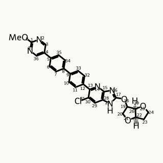 COc1ncc(-c2ccc(-c3ccc(-c4nc5nc(OC6CO[C@@H]7CCO[C@H]67)[nH]c5cc4Cl)cc3)cc2)cn1